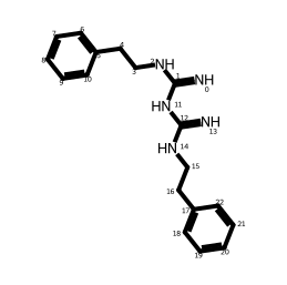 N=C(NCCc1ccccc1)NC(=N)NCCc1ccccc1